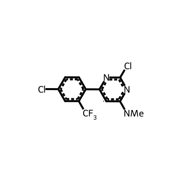 CNc1[c]c(-c2ccc(Cl)cc2C(F)(F)F)nc(Cl)n1